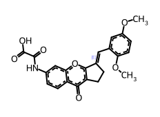 COc1ccc(OC)c(/C=C2\CCc3c2oc2cc(NC(=O)C(=O)O)ccc2c3=O)c1